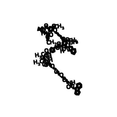 C=CCOC(=O)N1C[C@@H]2CC3(CC3)CN2C(=O)c2cc(OC)c(OCCCCCOc3cc(NC(=O)OCc4ccc(NC(=O)[C@H](C)NC(=O)[C@@H](NC(=O)CCOCCOCCOCCOCCNC(=O)OCC5c6ccccc6-c6ccccc65)C(C)C)cc4)c(C(=O)N4Cc5ccccc5C[C@H]4CO)cc3OC)cc21